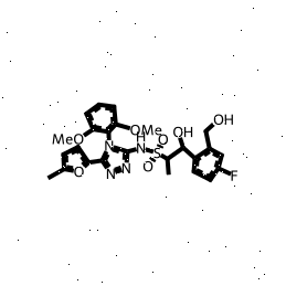 COc1cccc(OC)c1-n1c(NS(=O)(=O)C(C)C(O)c2ccc(F)cc2CO)nnc1-c1ccc(C)o1